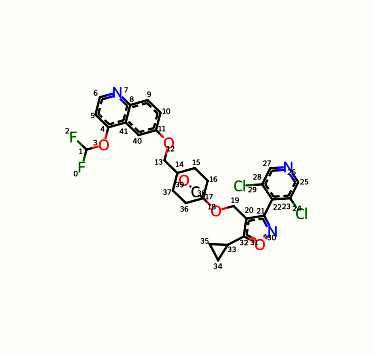 FC(F)Oc1ccnc2ccc(OCC34CCC(OCc5c(-c6c(Cl)cncc6Cl)noc5C5CC5)(CC3)CO4)cc12